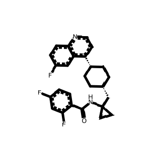 O=C(NC1(C[C@H]2CC[C@@H](c3ccnc4ccc(F)cc43)CC2)CC1)c1ccc(F)cc1F